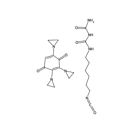 NC(=O)NC(=O)NCCCCCCN=C=O.O=C1C=C(N2CC2)C(=O)C(N2CC2)=C1N1CC1